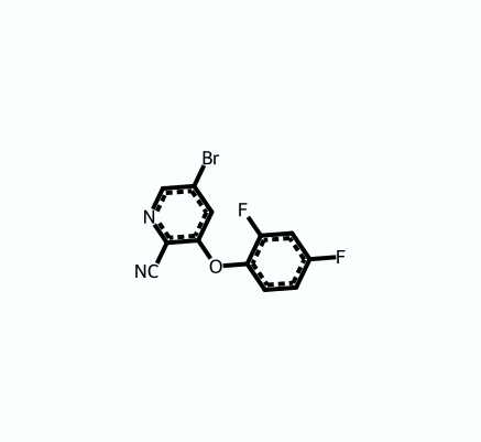 N#Cc1ncc(Br)cc1Oc1ccc(F)cc1F